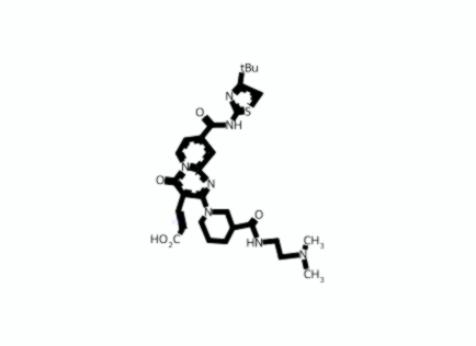 CN(C)CCNC(=O)C1CCCN(c2nc3cc(C(=O)Nc4nc(C(C)(C)C)cs4)ccn3c(=O)c2/C=C/C(=O)O)C1